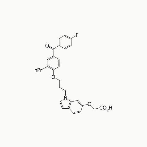 CCCc1cc(C(=O)c2ccc(F)cc2)ccc1OCCCn1ccc2ccc(OCC(=O)O)cc21